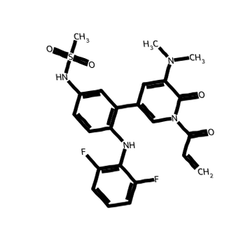 C=CC(=O)n1cc(-c2cc(NS(C)(=O)=O)ccc2Nc2c(F)cccc2F)cc(N(C)C)c1=O